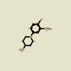 COc1cc(N2CCC(O)CC2)ccc1I